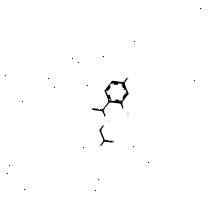 CC(NCC(F)F)c1ccc(F)cc1Br